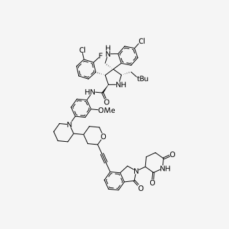 COc1cc(N2CCCCC2C2CCOC(C#Cc3cccc4c3CN(C3CCC(=O)NC3=O)C4=O)C2)ccc1NC(=O)[C@@H]1N[C@@H](CC(C)(C)C)[C@@]2(CNc3cc(Cl)ccc32)[C@H]1c1cccc(Cl)c1F